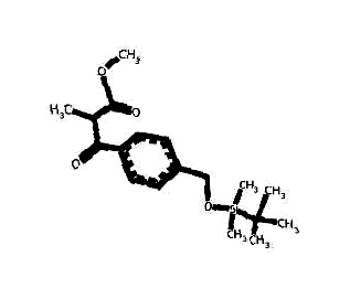 COC(=O)C(C)C(=O)c1ccc(CO[Si](C)(C)C(C)(C)C)cc1